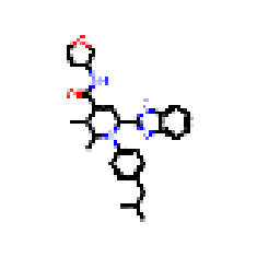 CC(C)Cc1ccc(N2C(c3nc4ccccc4[nH]3)CC(C(=O)NC3CCOC3)C(C)C2C)cc1